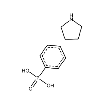 C1CCNC1.O=P(O)(O)c1ccccc1